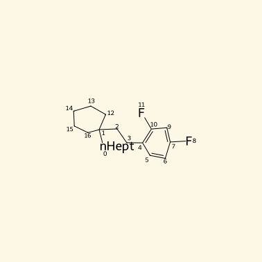 CCCCCCCC1(CCc2ccc(F)cc2F)CCCCC1